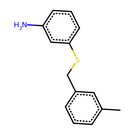 Cc1cccc(CSc2cccc(N)c2)c1